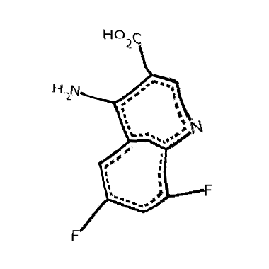 Nc1c(C(=O)O)cnc2c(F)cc(F)cc12